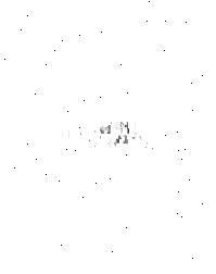 NC1CCC(Nc2cc(Nc3cccc(NC4CCC(O)CC4)n3)c3ncc(C(=O)Nc4ccncc4F)n3n2)CC1